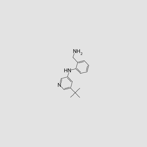 CC(C)(C)c1cncc(Nc2ccccc2CN)c1